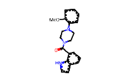 COc1ccccc1N1CCN(C(=O)c2cccc3cc[nH]c23)CC1